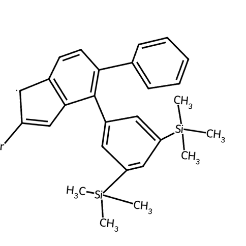 CC(C)C1=Cc2c(ccc(-c3ccccc3)c2-c2cc([Si](C)(C)C)cc([Si](C)(C)C)c2)[CH]1